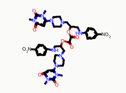 Cn1c(N2CCN(CC(CNc3ccc([N+](=O)[O-])cc3)OC(=O)C(=O)OC(CNc3ccc([N+](=O)[O-])cc3)CN3CCN(c4cc(=O)n(C)c(=O)n4C)CC3)CC2)cc(=O)n(C)c1=O